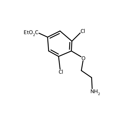 CCOC(=O)c1cc(Cl)c(OCCN)c(Cl)c1